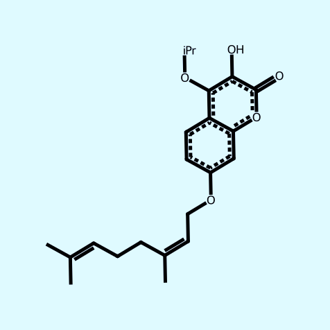 CC(C)=CCCC(C)=CCOc1ccc2c(OC(C)C)c(O)c(=O)oc2c1